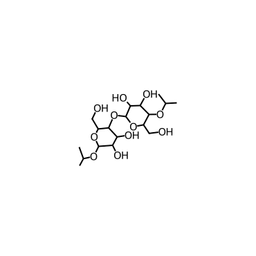 CC(C)OC1OC(CO)C(OC2OC(CO)C(OC(C)C)C(O)C2O)C(O)C1O